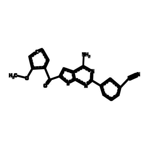 COc1ccccc1C(=O)c1cc2c(N)nc(-c3cccc(C#N)c3)nc2s1